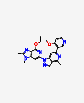 CCOc1nc(-n2ncc3c(C)nc(-c4cnccc4OC)cc32)cc2c1nc(C)n2C